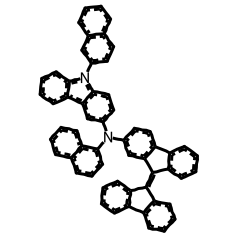 c1ccc2c(c1)C(=C1c3ccccc3-c3ccc(N(c4ccc5c(c4)c4ccccc4n5-c4ccc5ccccc5c4)c4cccc5ccccc45)cc31)c1ccccc1-2